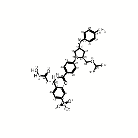 CCS(=O)(=O)c1ccc([C@H](CC(=O)NO)NC(=O)c2ccc(N3C[C@@H](Oc4ccc(C(F)(F)F)cc4)C[C@H]3COC(F)F)cc2)cc1